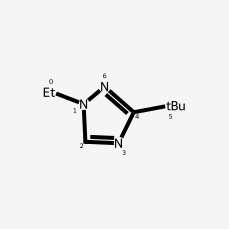 CCn1cnc(C(C)(C)C)n1